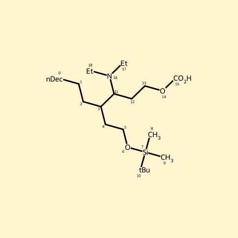 CCCCCCCCCCCCC(CCO[Si](C)(C)C(C)(C)C)C(CCOC(=O)O)N(CC)CC